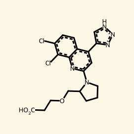 O=C(O)CCOCC1CCCN1c1cc(-c2c[nH]nn2)c2ccc(Cl)c(Cl)c2n1